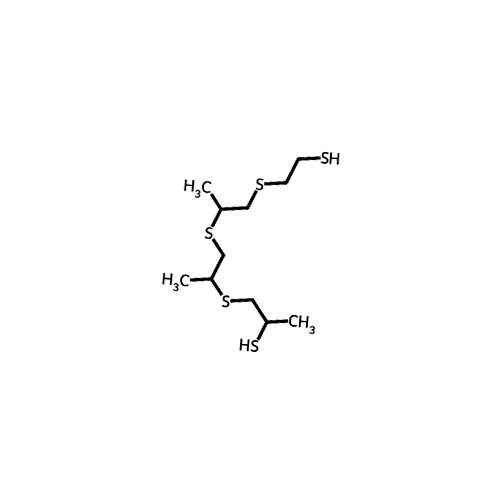 CC(S)CSC(C)CSC(C)CSCCS